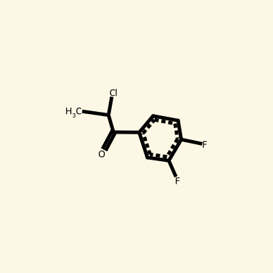 CC(Cl)C(=O)c1ccc(F)c(F)c1